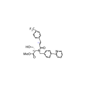 COC(=O)[C@H](CO)N(Cc1ccc(-c2ccccn2)cc1)C(=O)/C=C/c1ccc(C(F)(F)F)cc1